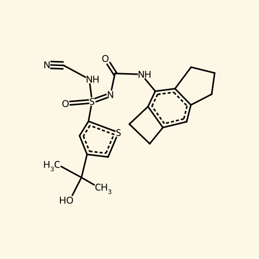 CC(C)(O)c1csc(S(=O)(=NC(=O)Nc2c3c(cc4c2CC4)CCC3)NC#N)c1